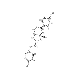 Fc1ccc(CO[C@@H]2C[C@H]3CN(c4ncc(F)cn4)CCN3C2)cc1